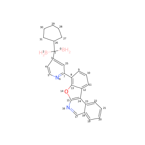 BC(B)(c1ccnc(-c2cccc3c2oc2ncc4ccccc4c23)c1)C1CCCCC1